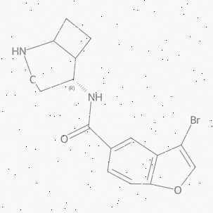 O=C(N[C@@H]1CCNC2CCC21)c1ccc2occ(Br)c2c1